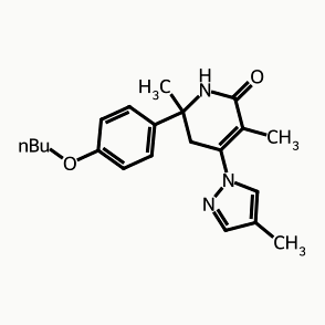 CCCCOc1ccc(C2(C)CC(n3cc(C)cn3)=C(C)C(=O)N2)cc1